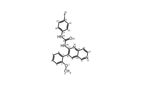 COc1ccccc1-c1cc2cnccc2nc1NC(=O)Nc1ccc(F)cc1